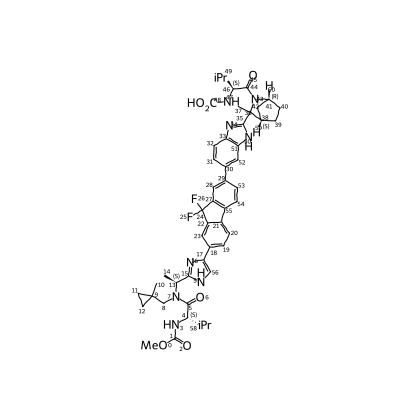 COC(=O)N[C@H](C(=O)N(CC1(C)CC1)[C@@H](C)c1nc(-c2ccc3c(c2)C(F)(F)c2cc(-c4ccc5nc(C6(C)[C@H]7CC[C@H](C7)N6C(=O)[C@@H](NC(=O)O)C(C)C)[nH]c5c4)ccc2-3)c[nH]1)C(C)C